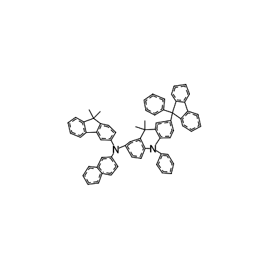 CC1(C)c2ccccc2-c2cc(N(c3ccc4c(c3)C(C)(C)c3cc(C5(c6ccccc6)c6ccccc6-c6ccccc65)ccc3N4c3ccccc3)c3ccc4ccccc4c3)ccc21